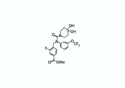 COC(=O)c1ccc(CN(C(=O)N2CCS(O)(O)CC2)c2cccc(OC(F)(F)F)c2)c(F)c1